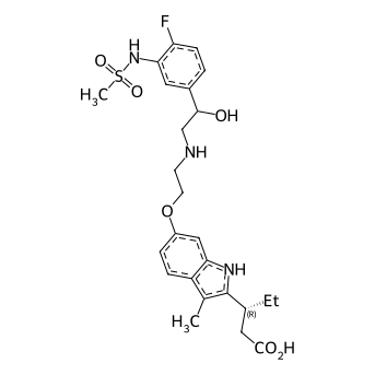 CC[C@H](CC(=O)O)c1[nH]c2cc(OCCNCC(O)c3ccc(F)c(NS(C)(=O)=O)c3)ccc2c1C